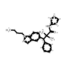 CCCCn1ncc2cc(C(c3ccccc3)C(C)(C)C(=O)Nc3nncs3)ccc21